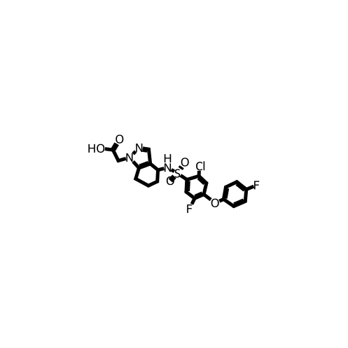 O=C(O)Cn1ncc2c1CCCC2NS(=O)(=O)c1cc(F)c(Oc2ccc(F)cc2)cc1Cl